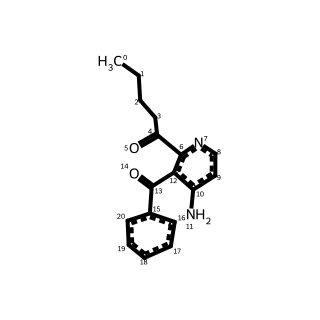 CCCCC(=O)c1nccc(N)c1C(=O)c1ccccc1